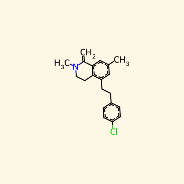 C=C1c2cc(C)cc(CCc3ccc(Cl)cc3)c2CCN1C